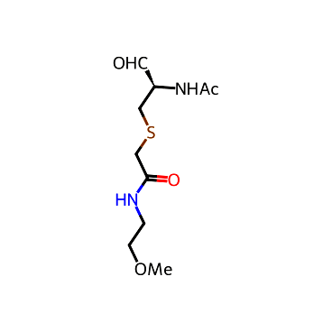 COCCNC(=O)CSC[C@@H](C=O)NC(C)=O